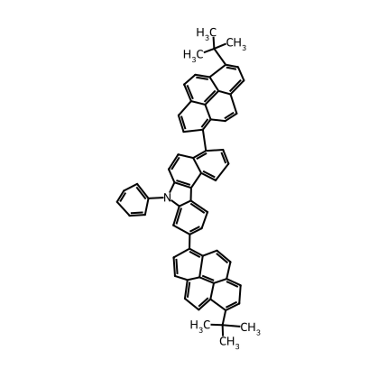 CC(C)(C)c1ccc2ccc3c(-c4ccc5c6c7cccc(-c8ccc9ccc%10c(C(C)(C)C)ccc%11ccc8c9c%11%10)c7ccc6n(-c6ccccc6)c5c4)ccc4ccc1c2c43